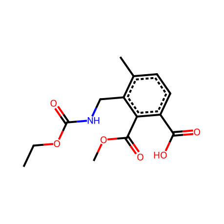 CCOC(=O)NCc1c(C)ccc(C(=O)O)c1C(=O)OC